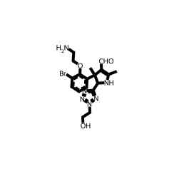 CC1=C(C=O)C(C)(c2cccc(Br)c2OCCN)C(c2nnn(CCO)n2)N1